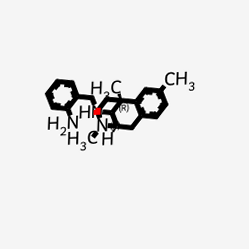 Cc1ccc2c(c1)[C@@]1(C)CCN(C)[C@H](C2)C1NCc1ccccc1N